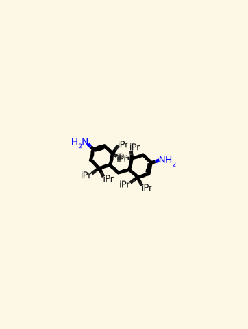 CC(C)C1(C(C)C)C=C(N)CC(C(C)C)(C(C)C)C1CC1C(C(C)C)(C(C)C)C=C(N)CC1(C(C)C)C(C)C